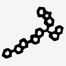 c1ccc(-c2ccc3cc(-c4ccc5cc(N(c6ccc7oc8ccccc8c7c6)c6cccc7ccccc67)ccc5c4)ccc3c2)cc1